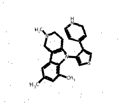 Cc1cc(C)c2c(c1)c1c(n2-c2cscc2C2=CCNC=C2)CCN(C)C1